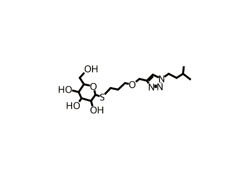 CC(C)CCn1cc(COCCCSC2OC(CO)C(O)C(O)C2O)nn1